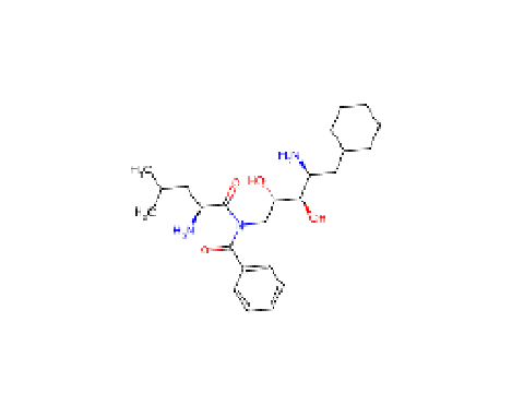 CC(C)C[C@H](N)C(=O)N(C[C@H](O)[C@H](O)[C@@H](N)CC1CCCCC1)C(=O)c1ccccc1